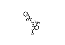 CC(C)c1cccc([C@H](C)C2CC2)c1OC(=O)COC(=O)CN1CCCCC1